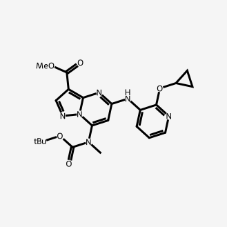 COC(=O)c1cnn2c(N(C)C(=O)OC(C)(C)C)cc(Nc3cccnc3OC3CC3)nc12